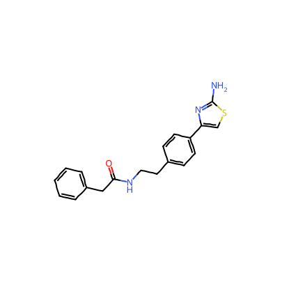 Nc1nc(-c2ccc(CCNC(=O)Cc3ccccc3)cc2)cs1